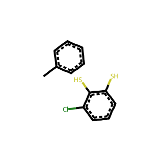 Cc1ccccc1.Sc1cccc(Cl)c1S